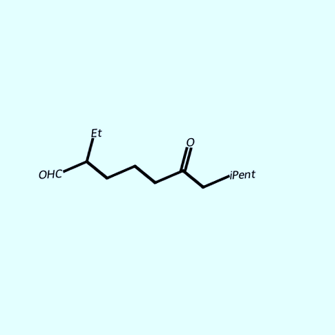 CCCC(C)CC(=O)CCCC(C=O)CC